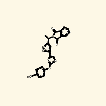 CC(c1cc(-c2cnc(Oc3ccc(O)cc3)s2)no1)N1C(=O)c2ccccc2C1=O